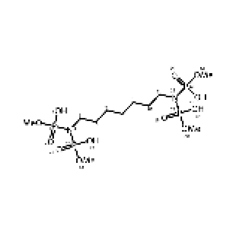 COP(=O)(O)N(CCCCCCCN(P(=O)(O)OC)P(=O)(O)OC)P(=O)(O)OC